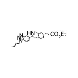 CC=CCn1nnc2c(C)c(C3Cc4ccc(CCC(=O)OCC)cc4CN3)ccc21